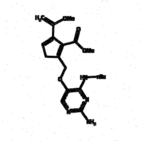 C=C(OC)C1=CCC(COc2cnc(N)nc2NCCCC)=C1C(=O)OC